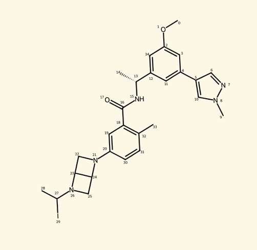 COc1cc(-c2cnn(C)c2)cc([C@@H](C)NC(=O)c2cc(N3CC4C3CN4C(C)I)ccc2C)c1